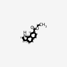 CCOC(=O)c1ccc2ccc3cc[nH]c3c2c1